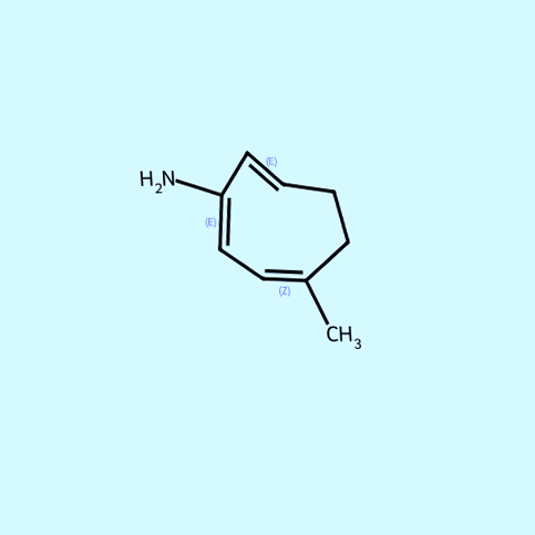 C/C1=C/C=C(N)\C=C\CC1